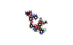 O=C(N[C@@H](c1ccccc1)c1cccc(OCc2cccc(C(=O)N3CCS[C@H]3C(=O)O[C@@H](Cc3c(Cl)cncc3Cl)c3ccc(OC(F)F)c(OCC4CC4)c3)c2)c1)O[C@H]1CN2CCC1CC2